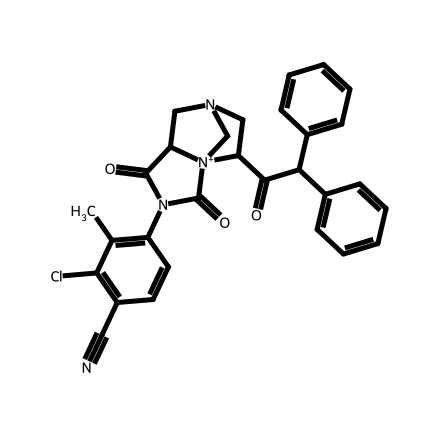 Cc1c(N2C(=O)C3CN4CC(C(=O)C(c5ccccc5)c5ccccc5)[N+]3(C4)C2=O)ccc(C#N)c1Cl